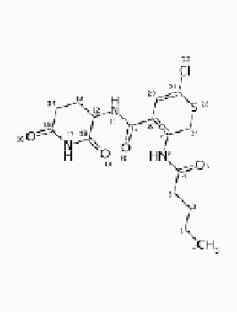 CCCCC(=O)NC1=C(C(=O)NC2CCC(=O)NC2=O)C=C(Cl)SC1